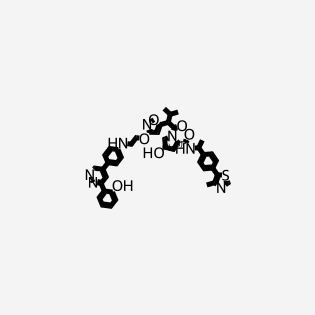 Cc1ncsc1-c1ccc(C(C)NC(=O)[C@@H]2C[C@@H](O)CN2C(=O)C(c2cc(OCCNc3ccc(-c4cnnc(-c5ccccc5O)c4)cc3)no2)C(C)C)cc1